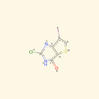 O=c1[nH]c(Cl)nc2c(I)csc12